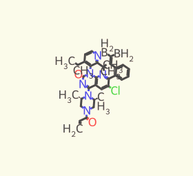 BC(B)=Cc1ccccc1-c1nc2c(cc1Cl)c(N1[C@@H](C)CN(C(=O)C=C)C[C@@H]1C)nc(=O)n2-c1c(C(C)C)ccnc1C(C)C